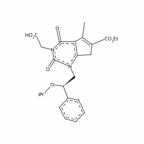 CCOC(=O)C1=C(C)c2c(n(C[C@H](OC(C)C)c3ccccc3)c(=O)n(CC(=O)O)c2=O)C1